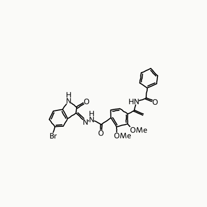 C=C(NC(=O)c1ccccc1)c1ccc(C(=O)NN=C2C(=O)Nc3ccc(Br)cc32)c(OC)c1OC